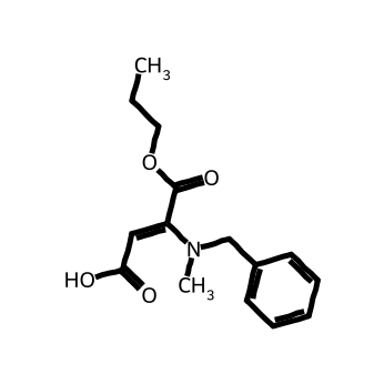 CCCOC(=O)/C(=C/C(=O)O)N(C)Cc1ccccc1